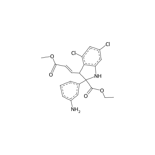 CCOC(=O)C1(c2cccc(N)c2)Nc2cc(Cl)cc(Cl)c2C1C=CC(=O)OC